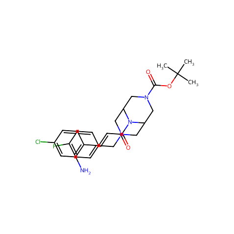 CC(C)(C)OC(=O)N1CC2CN(Cc3ccc(F)cc3)CC(C1)N2C(=O)C=Cc1ccc(Cl)cc1N